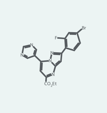 CCOC(=O)c1cc(-c2cncnc2)n2nc(-c3ccc(Br)cc3F)cc2n1